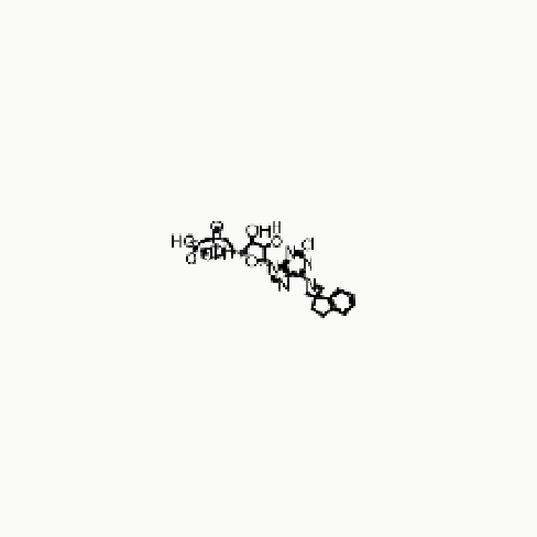 O=P(O)(O)CP(=O)(O)CC[C@H]1O[C@@H](n2cnc3c(N4CC5(CCc6ccccc65)C4)nc(Cl)nc32)C(O)C1O